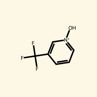 O[n+]1cccc(C(F)(F)F)c1